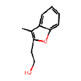 Cc1c(CCO)oc2ccccc12